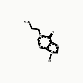 CCn1cnc2c(=O)n(CCNC)cnc21